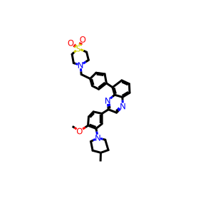 COc1ccc(-c2cnc3cccc(-c4ccc(CN5CCS(=O)(=O)CC5)cc4)c3n2)cc1N1CCC(C)CC1